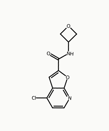 O=C(NC1COC1)c1cc2c(Cl)ccnc2o1